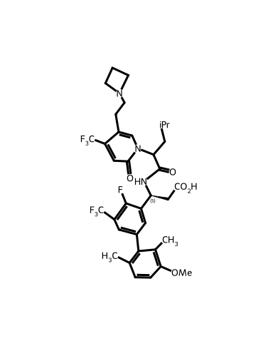 COc1ccc(C)c(-c2cc([C@H](CC(=O)O)NC(=O)C(CC(C)C)n3cc(CCN4CCC4)c(C(F)(F)F)cc3=O)c(F)c(C(F)(F)F)c2)c1C